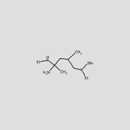 CCBC(C)(N)CC(C)CB(CC)C(C)(C)C